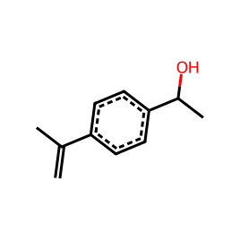 C=C(C)c1ccc(C(C)O)cc1